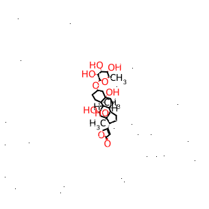 C[C@@H]1O[C@@H](O[C@H]2CC[C@]3(C)[C@H]4[C@H](O)C[C@]5(C)[C@@H](C6=CC(=O)OC6)CC[C@]5(O)[C@@H]4CC[C@]3(O)C2)[C@H](O)[C@H](O)[C@H]1O